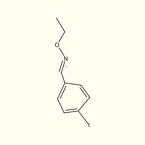 CCO/N=C/c1ccc(I)cc1